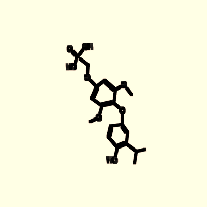 COc1cc(OCP(=O)(O)O)cc(OC)c1Oc1ccc(O)c(C(C)C)c1